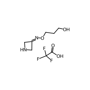 O=C(O)C(F)(F)F.OCCCON=C1CNC1